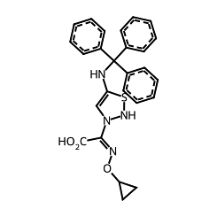 O=C(O)/C(=N\OC1CC1)N1C=C(NC(c2ccccc2)(c2ccccc2)c2ccccc2)SN1